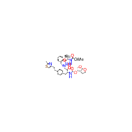 COC(=O)NC(C(=O)NN(Cc1ccccc1)CC(O)C(Cc1ccc(CCc2csc(C)n2)cc1)NC(=O)OC1COC2OCCC12)C(C)(C)C